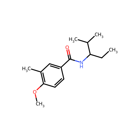 CCC(NC(=O)c1ccc(OC)c(C)c1)C(C)C